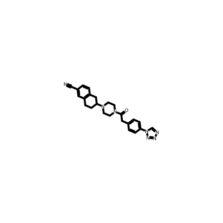 N#Cc1ccc2c(c1)CCC(N1CCN(C(=O)Cc3ccc(-n4cnnn4)cc3)CC1)C2